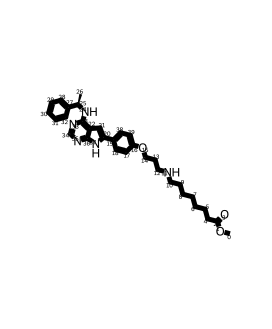 COC(=O)CCCCCCCNCCCOc1ccc(-c2cc3c(N[C@H](C)c4ccccc4)ncnc3[nH]2)cc1